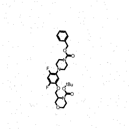 CC(C)(C)OC(=O)N1CCOCC1COc1cc(N2CCN(C(=O)OCc3ccccc3)CC2)c(F)cc1F